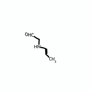 CC=CNCC=O